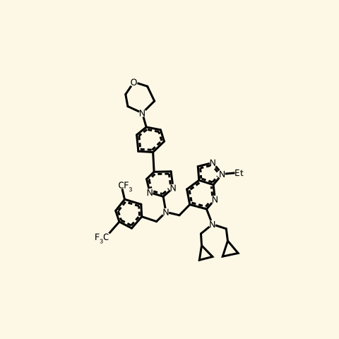 CCn1ncc2cc(CN(Cc3cc(C(F)(F)F)cc(C(F)(F)F)c3)c3ncc(-c4ccc(N5CCOCC5)cc4)cn3)c(N(CC3CC3)CC3CC3)nc21